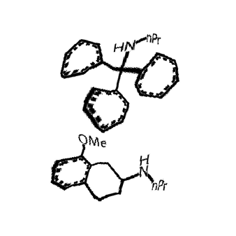 CCCNC(c1ccccc1)(c1ccccc1)c1ccccc1.CCCNC1CCc2cccc(OC)c2C1